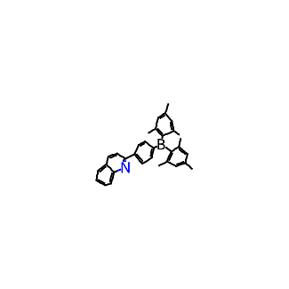 Cc1cc(C)c(B(c2ccc(-c3ccc4ccccc4n3)cc2)c2c(C)cc(C)cc2C)c(C)c1